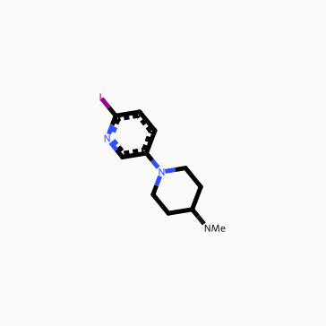 CNC1CCN(c2ccc(I)nc2)CC1